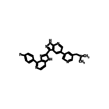 CN(C)Cc1cncc(-c2cnc3[nH]nc(-c4nc5c(-c6ccc(F)cc6)nccc5[nH]4)c3c2)c1